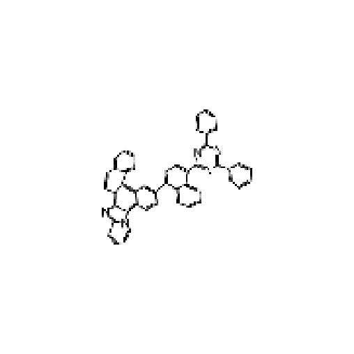 c1ccc(-c2nc(-c3ccccc3)nc(-c3ccc(-c4ccc5c(c4)c4c6ccccc6ccc4c4nc6ccccn6c54)c4ccccc34)n2)cc1